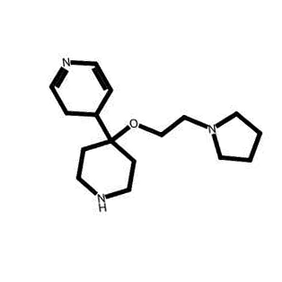 C1=CC(C2(OCCN3CCCC3)CCNCC2)CC=N1